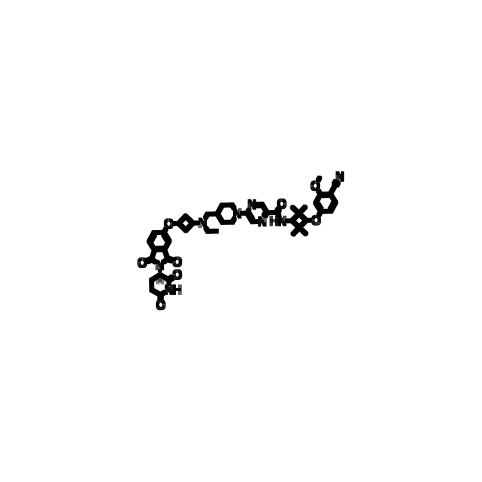 CCN(CC1CCN(c2cnc(C(=O)NC3C(C)(C)C(Oc4ccc(C#N)c(OC)c4)C3(C)C)cn2)CC1)C1CC(Oc2ccc3c(c2)C(=O)N([C@@H]2CCC(=O)NC2=O)C3=O)C1